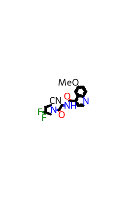 COc1ccc2nccc(C(=O)NCC(=O)N3CC(F)(F)CC3C#N)c2c1